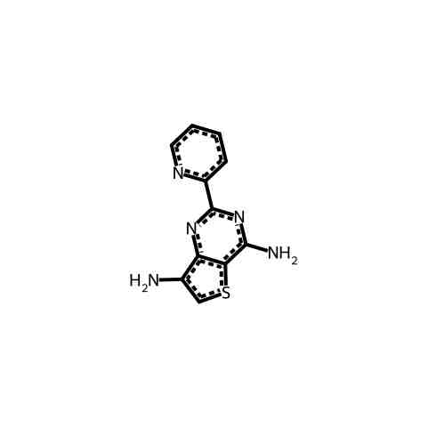 Nc1csc2c(N)nc(-c3ccccn3)nc12